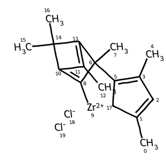 CC1=CC(C)=C(C2(C)[C]([Zr+2])=C3C(C)=C2C3(C)C)C1.[Cl-].[Cl-]